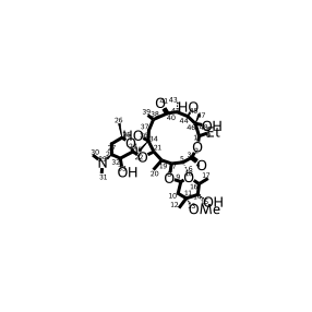 CCC1OC(=O)[C@H](C)C(OC2C[C@@](C)(OC)[C@@H](O)C(C)O2)C(C)C(OC2O[C@H](C)C[C@H](N(C)C)C2O)[C@](C)(O)CC(C)C(=O)[C@H](C)[C@@H](O)[C@]1(C)O